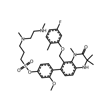 CNCCN(C)CCCS(=O)(=O)Oc1ccc(-c2ccc3c(c2COc2cc(F)ccc2C)N(C)C(=O)C(C)(C)N3)c(OC)c1